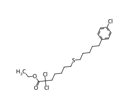 CCOC(=O)C(Cl)(Cl)CCCCCSCCCCCc1ccc(Cl)cc1